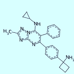 Cc1nc2nc(-c3ccc(C4(N)CCC4)cc3)c(-c3ccccc3)c(NC3CC3)n2n1